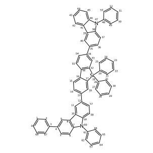 c1ccc(-c2ccc3c(c2)c2cc(-c4ccc5c(c4)[Si](c4ccccc4)(c4ccccc4)c4cc(-c6ccc7c(c6)c6ccccc6n7-c6ccccc6)ccc4-5)ccc2n3-c2ccccc2)cc1